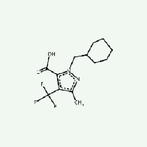 Cc1nn(CC2CCCCC2)c(C(=O)O)c1C(F)(F)F